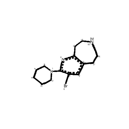 Brc1cc2c(nc1N1CCCCC1)CCNCC2